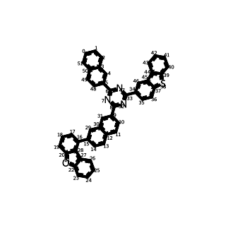 c1ccc2cc(-c3nc(-c4ccc5ccc(-c6cccc7oc8ccccc8c67)cc5c4)nc(-c4ccc5sc6ccccc6c5c4)n3)ccc2c1